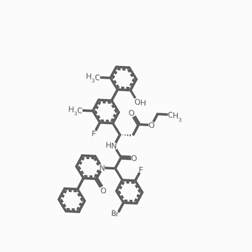 CCOC(=O)C[C@H](NC(=O)C(c1cc(Br)ccc1F)n1cccc(-c2ccccc2)c1=O)c1cc(-c2c(C)cccc2O)cc(C)c1F